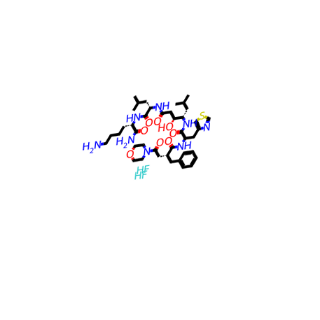 CC(C)C[C@H](NC(=O)C[C@H](O)[C@H](CC(C)C)NC(=O)C(Cc1cscn1)NC(=O)[C@@H](CC(=O)N1CCOCC1)Cc1ccccc1)C(=O)N[C@@H](CCCCN)C(N)=O.F.F